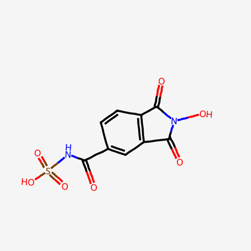 O=C(NS(=O)(=O)O)c1ccc2c(c1)C(=O)N(O)C2=O